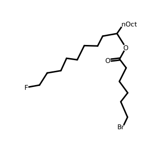 CCCCCCCCC(CCCCCCCCF)OC(=O)CCCCCBr